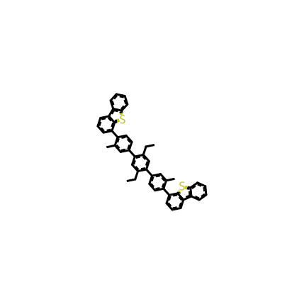 CCc1cc(-c2ccc(-c3cccc4c3sc3ccccc34)c(C)c2)c(CC)cc1-c1ccc(-c2cccc3c2sc2ccccc23)c(C)c1